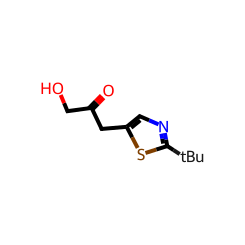 CC(C)(C)c1ncc(CC(=O)CO)s1